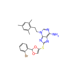 Cc1cc(C)c(CCn2cnc(N)c3nc(SC4=COC(c5ccccc5Br)O4)nc2-3)c(C)c1